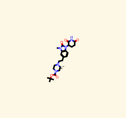 C[C@@H]1CN(C(=O)OC(C)(C)C)CCN1CCc1ccc2c(c1)n(C)c(=O)n2C1CCC(=O)NC1=O